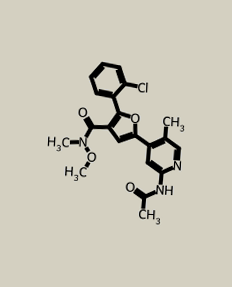 CON(C)C(=O)c1cc(-c2cc(NC(C)=O)ncc2C)oc1-c1ccccc1Cl